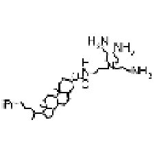 CC(C)CCCC(C)C1CCC2C3CC=C4CC(OC(=O)NCCC[N+](CCN)(CCCN)CCCN)CCC4(C)C3CCC12C